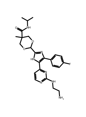 CC(C)NC(=O)C1(C)COC(c2nc(-c3ccc(F)cc3)c(-c3ccnc(NCCN)n3)[nH]2)OC1